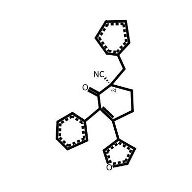 N#C[C@]1(Cc2ccccc2)CCC(c2ccoc2)=C(c2ccccc2)C1=O